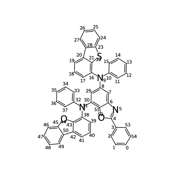 c1ccc(-c2nc3cc(N(c4ccccc4)c4cccc5c4sc4ccccc45)cc(N(c4ccccc4)c4cccc5c4oc4ccccc45)c3o2)cc1